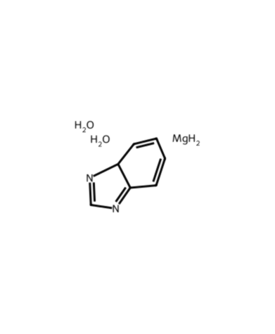 C1=CC2=NC=NC2C=C1.O.O.[MgH2]